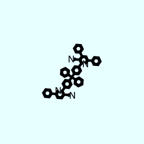 N#Cc1ccc(-c2ccccc2)nc1-c1ccc(C(c2ccccc2)(c2ccccc2)c2ccc(-c3nc(-c4ccccc4)cc(-c4ccccc4)c3C#N)cc2)cc1